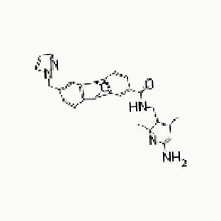 Cc1cc(N)nc(C)c1CNC(=O)c1ccc2c(c1)C1OC2c2cc(Cn3cccn3)ccc21